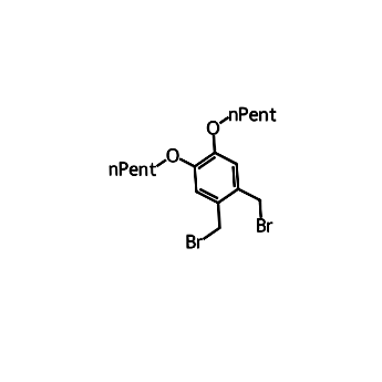 CCCCCOc1cc(CBr)c(CBr)cc1OCCCCC